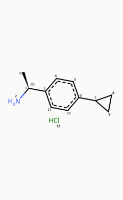 C[C@H](N)c1ccc(C2CC2)cc1.Cl